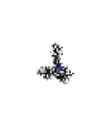 CC1(C)c2ccccc2-c2ccc(-c3ccc(N(c4ccc(-c5cccc6c5C(C)(C)c5ccccc5-6)cc4)c4cccc5c4-c4ccccc4C5(c4ccccc4)c4ccccc4)cc3)cc21